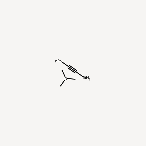 CCCC#C[SiH3].CN(C)C